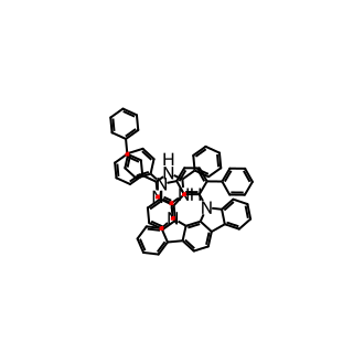 c1ccc(-c2cccc(C3N=C(n4c5ccccc5c5ccc6c7ccccc7n(-c7c(-c8ccccc8)ccc8c7c7ccccc7n8-c7ccccc7)c6c54)NC(c4ccccc4)N3)c2)cc1